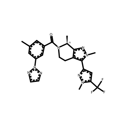 Cc1cc(C(=O)N2CCc3c(nn(C)c3-c3cc(C(F)(F)F)n(C)n3)[C@@H]2C)cc(-n2nccn2)c1